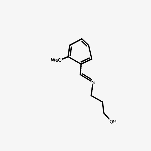 COc1ccccc1C=NCCCO